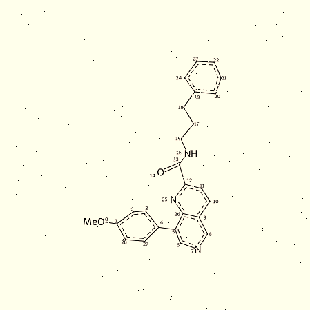 COc1ccc(-c2cncc3ccc(C(=O)NCCCc4ccccc4)nc23)cc1